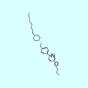 CCCCCCCC[C@H]1CC[C@H](CCc2ccc(-c3ccc(OCCCC)cn3)cc2)CC1